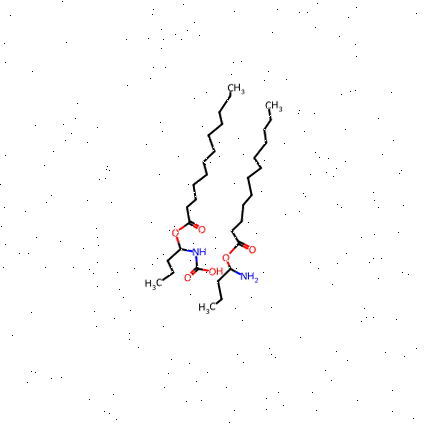 CCCCCCCCCCCC(=O)OC(CCC)NC(=O)O.CCCCCCCCCCCC(=O)OC(N)CCC